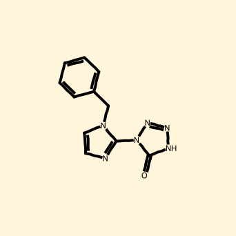 O=c1[nH]nnn1-c1nccn1Cc1ccccc1